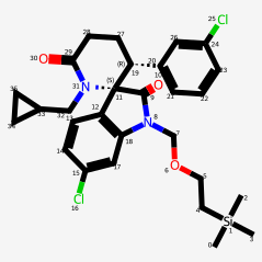 C[Si](C)(C)CCOCN1C(=O)[C@@]2(c3ccc(Cl)cc31)[C@@H](c1cccc(Cl)c1)CCC(=O)N2CC1CC1